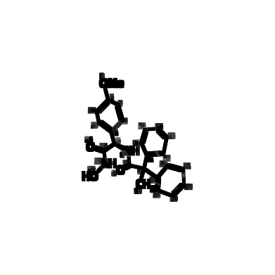 COc1ccc([C@@H](NC(=O)C(C)(c2ccccc2)c2ccccc2)C(=O)NO)cc1